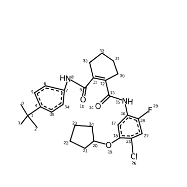 CC(C)(C)c1ccc(NC(=O)C2=C(C(=O)Nc3cc(OC4CCCC4)c(Cl)cc3F)CCCC2)cc1